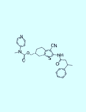 CC(CC(=O)Nc1sc2c(c1C#N)CCC(COC(=O)N(C)c1ccncc1)C2)c1ccccc1